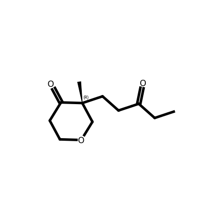 CCC(=O)CC[C@]1(C)COCCC1=O